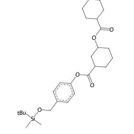 CC(C)(C)[Si](C)(C)OCc1ccc(OC(=O)C2CCCC(OC(=O)C3CCCCC3)C2)cc1